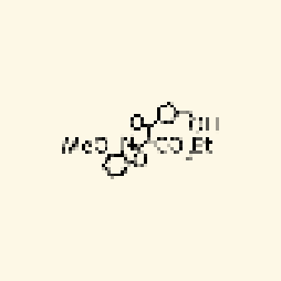 CCOC(=O)C(C(=O)C1CCC(CO)C1)c1nc2c(OC)cccc2o1